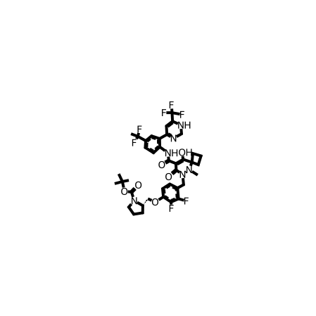 CN1N(Cc2ccc(OC[C@@H]3CCCN3C(=O)OC(C)(C)C)c(F)c2F)C(=O)C(C(=O)Nc2ccc(C(C)(F)F)cc2C2=NCNC(C(F)(F)F)=C2)=C(O)C12CCC2